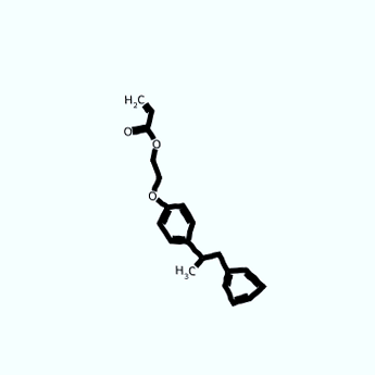 C=CC(=O)OCCOc1ccc(C(C)Cc2ccccc2)cc1